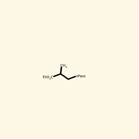 [CH2]C(CCCCCC)C(=O)OCC